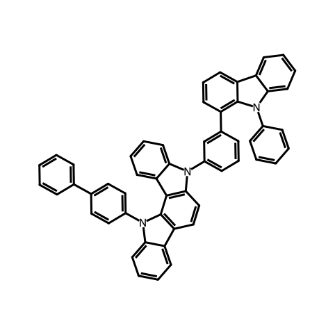 c1ccc(-c2ccc(-n3c4ccccc4c4ccc5c(c6ccccc6n5-c5cccc(-c6cccc7c8ccccc8n(-c8ccccc8)c67)c5)c43)cc2)cc1